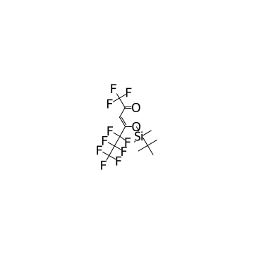 CC(C)(C)[Si](C)(C)O/C(=C\C(=O)C(F)(F)F)C(F)(F)C(F)(F)C(F)(F)F